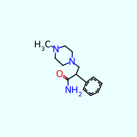 CN1CCN(CC(C(N)=O)c2ccccc2)CC1